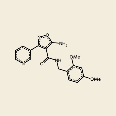 COc1ccc(CNC(=O)c2c(-c3cccnc3)noc2N)c(OC)c1